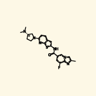 Cc1cn2cc(C(=O)Nc3cc4ccc(N5CC[C@H](N(C)C)C5)nc4s3)cc(F)c2n1